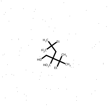 CCC(C)(C)CC(CO)(C(=O)O)C(C)(C)CC